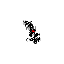 Cc1sc2c(c1C)C(c1ccc(Cl)cc1)=N[C@@H](CC(=O)NCC[C@]13OB(c4ccccc4CCCC(=O)Nc4cccc5c4C(=O)N(C4CCC(=O)NC4=O)C5=O)O[C@H]1C[C@H]1C[C@@H]3C1(C)C)c1nnc(C)n1-2